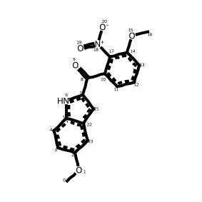 COc1ccc2[nH]c(C(=O)c3cccc(OC)c3[N+](=O)[O-])cc2c1